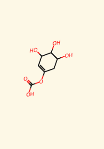 O=C(O)OC1=CC(O)C(O)C(O)C1